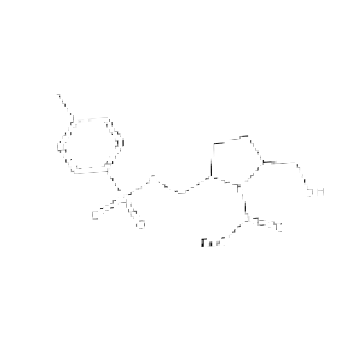 Cc1ccc(S(=O)(=O)OCC2CCC(CO)N2C(=O)OCC(C)C)cc1